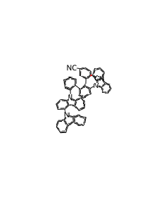 N#Cc1ccc(C#N)c(-c2c(-c3ccccc3-n3c4ccccc4c4c(-n5c6ccccc6c6ccccc65)cccc43)cccc2-n2c3ccccc3c3ccccc32)c1